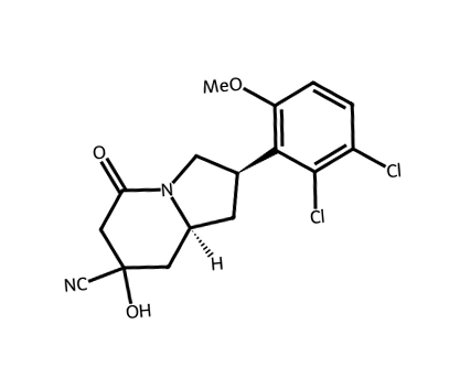 COc1ccc(Cl)c(Cl)c1[C@H]1C[C@H]2CC(O)(C#N)CC(=O)N2C1